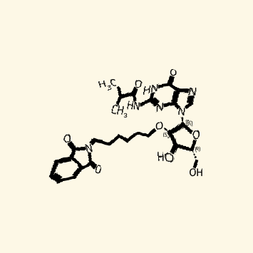 CC(C)C(=O)Nc1nc2c(ncn2[C@@H]2O[C@H](CO)C(O)[C@@H]2OCCCCCCN2C(=O)c3ccccc3C2=O)c(=O)[nH]1